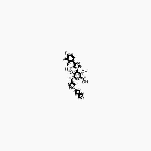 CO[C@@H]1C(n2cc(-c3ccc(F)c(F)c3F)nn2)[C@@H](O)[C@@H](CO)O[C@@H]1Cc1cn(C2CC3(COC3)C2)nn1